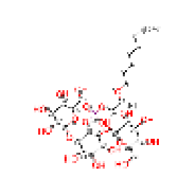 CCCCCCCCCCCCCCCCO[C@H](CC)COP(=O)(O)O[C@@H]1C(O[C@@H]2OC(CO)[C@@H](O)[C@H](O)C2O)C(O)[C@@H](O)[C@H](O)C1O[C@H]1OC(CO)[C@@H](O)C(O)[C@H]1O